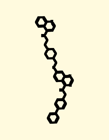 c1ccc(-c2ccc(CNc3ncnc4cc(OCC5CCN(CCNc6ccnc7ccccc67)CC5)ccc34)cc2)cc1